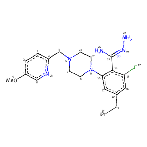 COc1ccc(CN2CCN(c3cc(CC(C)C)cc(F)c3/C(N)=N/N)CC2)nc1